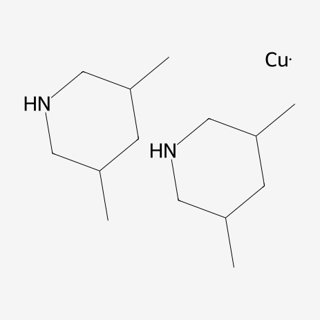 CC1CNCC(C)C1.CC1CNCC(C)C1.[Cu]